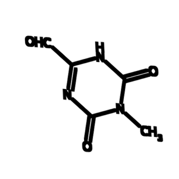 Cn1c(=O)nc(C=O)[nH]c1=O